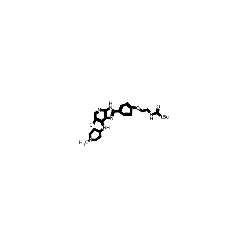 CN1CCC(Nc2c(Cl)cnc3[nH]c(-c4ccc(OCCNC(=O)C(C)(C)C)cc4)nc23)CC1